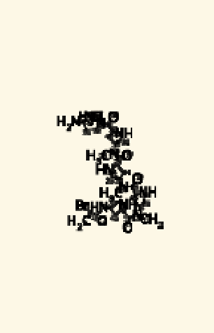 C=C(Br)C(=O)Nc1c[nH]c(C(=O)N(C)c2c[nH]c(C(=O)N(C)c3c[nH]c(C(=O)N(C)c4c[nH]c(C(=O)N(C)CCC(=N)N)c4)c3)c2)c1